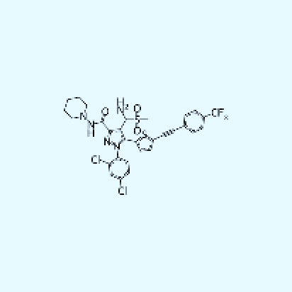 CS(=O)(=O)C(N)c1c(C(=O)NN2CCCCC2)nn(-c2ccc(Cl)cc2Cl)c1-c1ccc(C#Cc2ccc(C(F)(F)F)cc2)s1